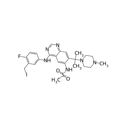 CN1CCN(C(C)(C)c2cc3ncnc(Nc4ccc(F)c(CI)c4)c3cc2NS(C)(=O)=O)CC1